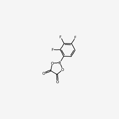 O=C1OB(c2ccc(F)c(F)c2F)OC1=O